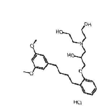 COc1cc(CCCCc2ccccc2OCC(O)CN(CCO)CCO)cc(OC)c1.Cl